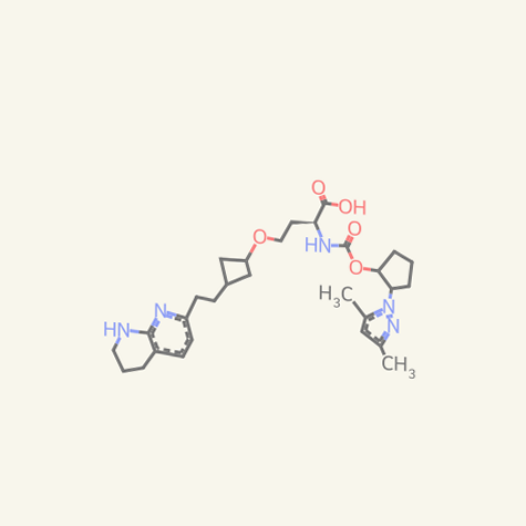 Cc1cc(C)n(C2CCCC2OC(=O)N[C@@H](CCOC2CC(CCc3ccc4c(n3)NCCC4)C2)C(=O)O)n1